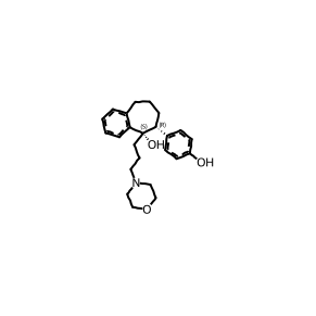 Oc1ccc([C@H]2CCCc3ccccc3[C@]2(O)CCCN2CCOCC2)cc1